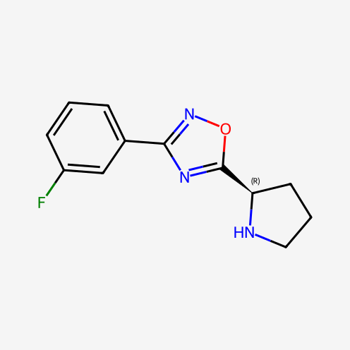 Fc1cccc(-c2noc([C@H]3CCCN3)n2)c1